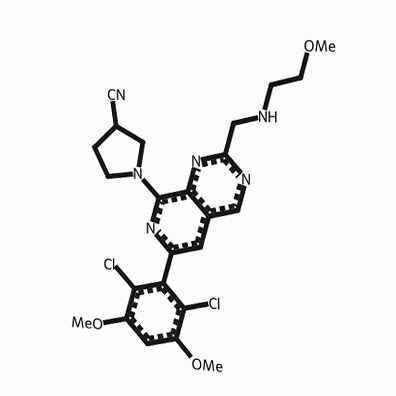 COCCNCc1ncc2cc(-c3c(Cl)c(OC)cc(OC)c3Cl)nc(N3CCC(C#N)C3)c2n1